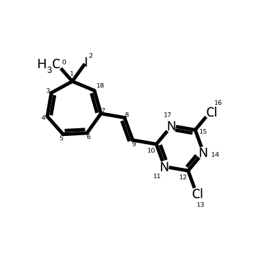 CC1(I)C=CC=CC(/C=C/c2nc(Cl)nc(Cl)n2)=C1